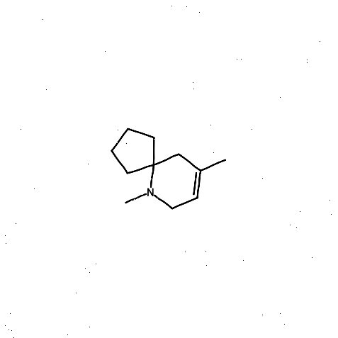 CC1=CCN(C)C2(CCCC2)C1